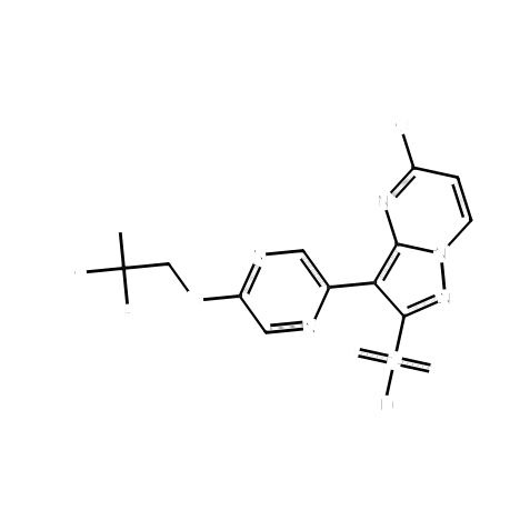 CCS(=O)(=O)c1nn2ccc(C)nc2c1-c1cnc(OCC(F)(F)C(F)(F)F)cn1